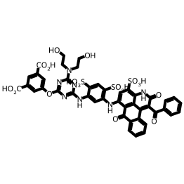 O=C(O)c1cc(Oc2nc(Nc3cc(Nc4cc(S(=O)(=O)O)c5[nH]c(=O)c(C(=O)c6ccccc6)c6c5c4C(=O)c4ccccc4-6)c(S(=O)(=O)O)cc3S(=O)(=O)O)nc(N(CCO)CCO)n2)cc(C(=O)O)c1